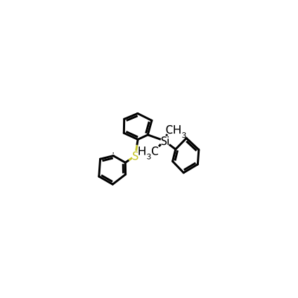 C[Si](C)(c1ccccc1)c1ccccc1Sc1[c]cccc1